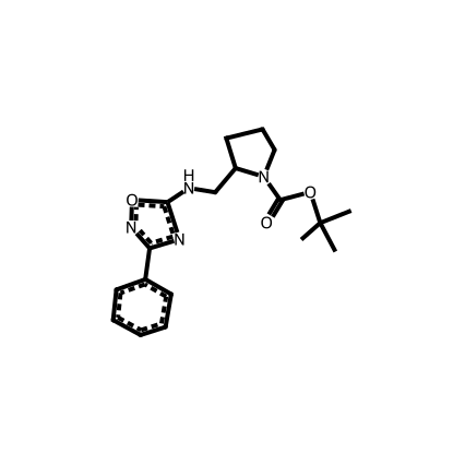 CC(C)(C)OC(=O)N1CCCC1CNc1nc(-c2ccccc2)no1